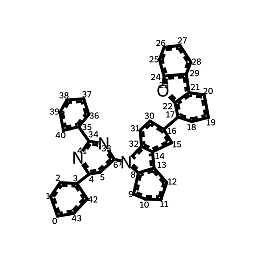 c1ccc(-c2cc(-n3c4ccccc4c4cc(-c5cccc6c5oc5ccccc56)ccc43)nc(-c3ccccc3)n2)cc1